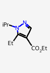 CCOC(=O)c1cnn(C(C)C)c1CC